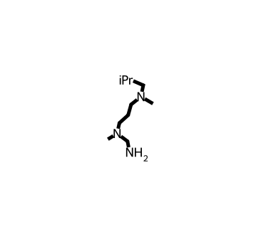 CC(C)CN(C)CCCN(C)CN